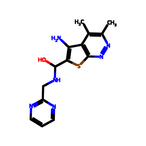 Cc1nnc2sc(C(O)NCc3ncccn3)c(N)c2c1C